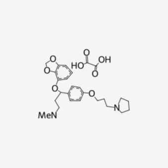 CNCCC(Oc1cccc2c1OCO2)c1ccc(OCCCN2CCCC2)cc1.O=C(O)C(=O)O